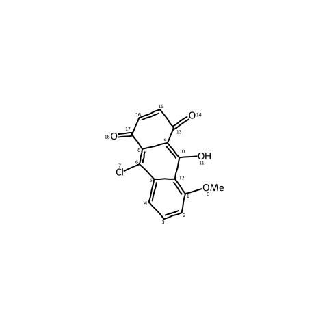 COc1cccc2c(Cl)c3c(c(O)c12)C(=O)C=CC3=O